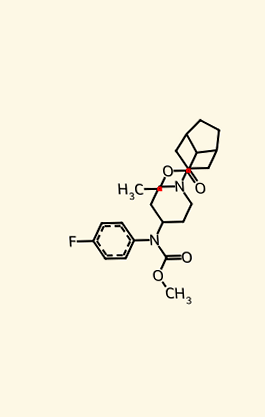 CCOC(=O)C1C2CCC1CC(N1CCC(N(C(=O)OC)c3ccc(F)cc3)CC1)C2